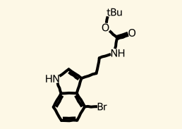 CC(C)(C)OC(=O)NCCc1c[nH]c2cccc(Br)c12